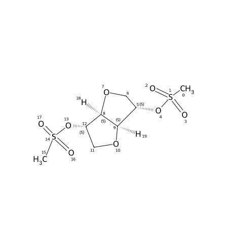 CS(=O)(=O)O[C@H]1CO[C@H]2[C@@H]1OC[C@@H]2OS(C)(=O)=O